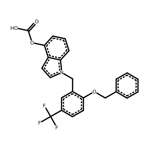 O=C(O)Oc1cccc2c1ccn2Cc1cc(C(F)(F)F)ccc1OCc1ccccc1